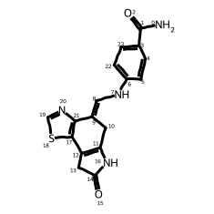 NC(=O)c1ccc(NC=C2CC3=C(CC(=O)N3)c3scnc32)cc1